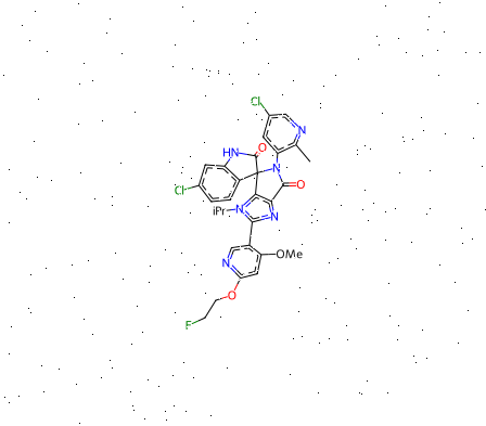 COc1cc(OCCF)ncc1-c1nc2c(n1C(C)C)C1(C(=O)Nc3cc(Cl)ccc31)N(c1cc(Cl)cnc1C)C2=O